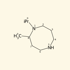 CC(C)N1CCCNCCC1C